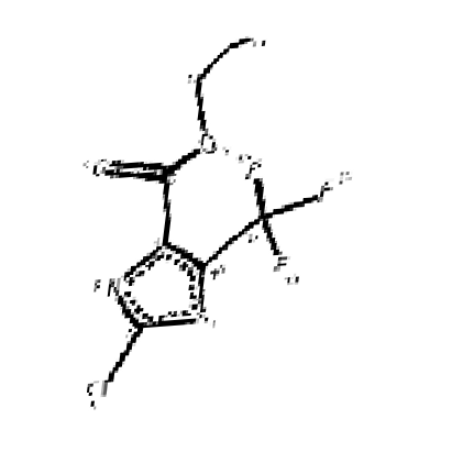 CCOC(=O)c1nc(Cl)sc1C(F)(F)F